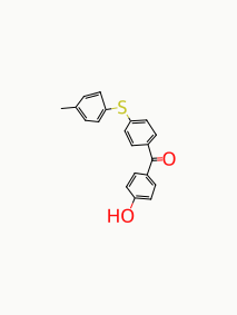 Cc1ccc(Sc2ccc(C(=O)c3ccc(O)cc3)cc2)cc1